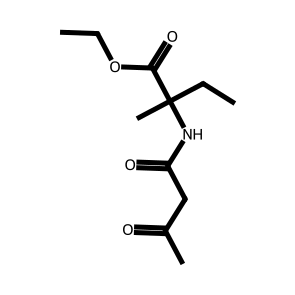 CCOC(=O)C(C)(CC)NC(=O)CC(C)=O